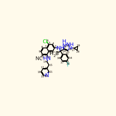 BC(Nc1cc(Cl)c2ccc(C#N)c(NCCc3cccnc3)c2c1)(C1=CN(C2CC2)NN1)c1ccc(F)cc1